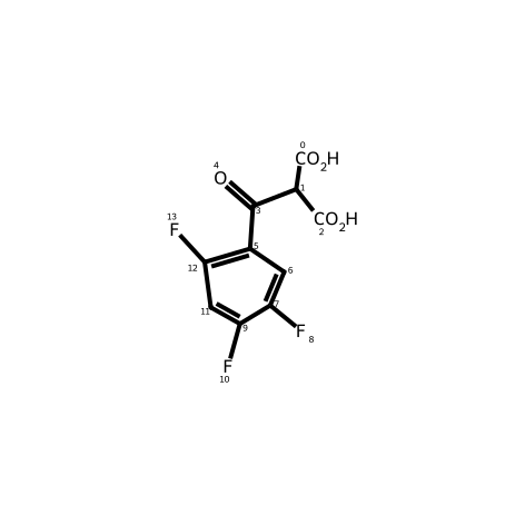 O=C(O)C(C(=O)O)C(=O)c1cc(F)c(F)cc1F